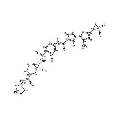 Cn1c(-c2cn(C3CC3(F)F)nc2C(F)(F)F)cnc1C(=O)Nc1ccc(C(=O)NC2C3CCN(C(=O)N[C@H]4CCNC4)C[C@@H]32)c(Cl)c1